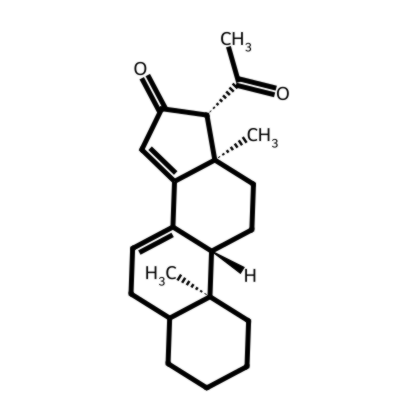 CC(=O)[C@H]1C(=O)C=C2C3=CCC4CCCC[C@]4(C)[C@H]3CC[C@@]21C